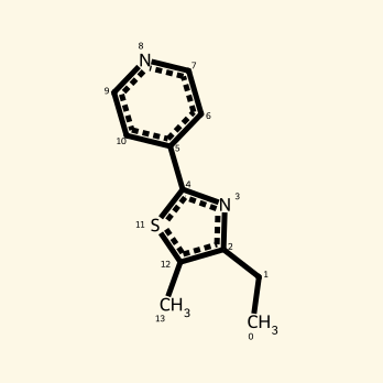 CCc1nc(-c2ccncc2)sc1C